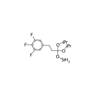 CC(C)OC(CCc1cc(F)c(F)c(F)c1)(O[SiH3])OC(C)C